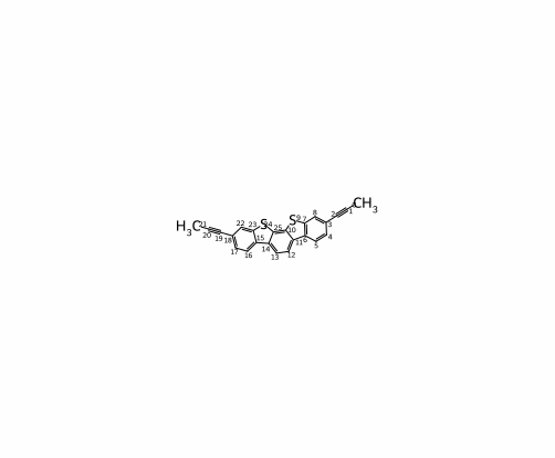 CC#Cc1ccc2c(c1)sc1c2ccc2c3ccc(C#CC)cc3sc21